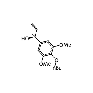 C=C[C@H](O)c1cc(OC)c(OCCCC)c(OC)c1